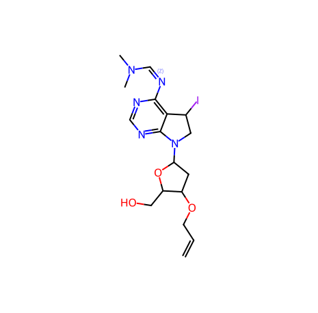 C=CCOC1CC(N2CC(I)c3c(/N=C\N(C)C)ncnc32)OC1CO